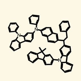 CC1(C)c2ccccc2-c2ccc(-n3c4ccccc4c4ccc(C(Cc5ccccc5)c5ccc6cc(N(c7ccccc7)c7ccc8c9ccccc9n(-c9ccccc9)c8c7)ccc6c5)cc43)cc21